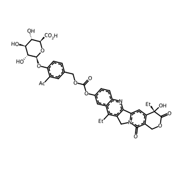 CCc1c2c(nc3ccc(OC(=O)OCc4ccc(O[C@@H]5O[C@H](C(=O)O)[C@@H](O)[C@H](O)[C@H]5O)c(C(C)=O)c4)cc13)-c1cc3c(c(=O)n1C2)COC(=O)[C@]3(O)CC